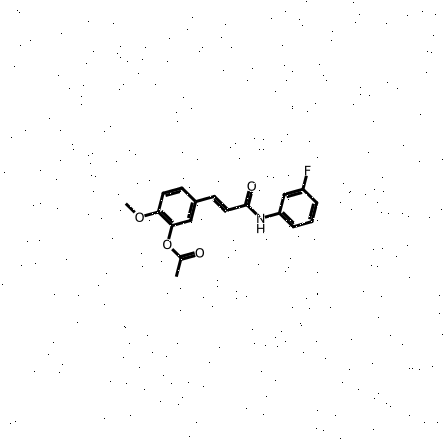 COc1ccc(/C=C/C(=O)Nc2cccc(F)c2)cc1OC(C)=O